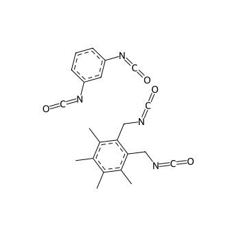 Cc1c(C)c(C)c(CN=C=O)c(CN=C=O)c1C.O=C=Nc1cccc(N=C=O)c1